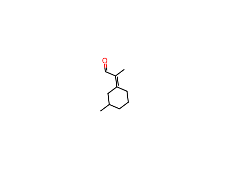 CC(C=O)=C1CCCC(C)C1